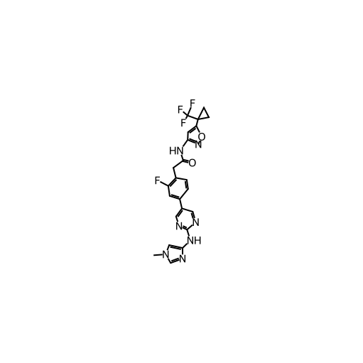 Cn1cnc(Nc2ncc(-c3ccc(CC(=O)Nc4cc(C5(C(F)(F)F)CC5)on4)c(F)c3)cn2)c1